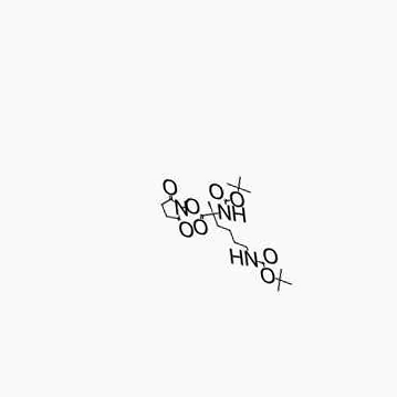 CC(C)(C)OC(=O)NCCCC[C@@](C)(NC(=O)OC(C)(C)C)C(=O)ON1C(=O)CCC1=O